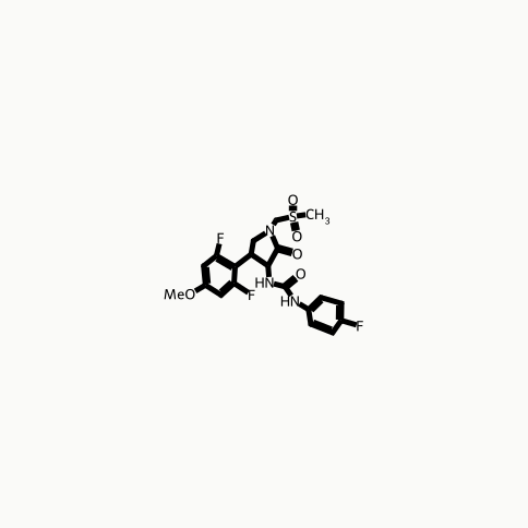 COc1cc(F)c(C2CN(CS(C)(=O)=O)C(=O)C2NC(=O)Nc2ccc(F)cc2)c(F)c1